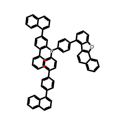 c1ccc(-c2ccc(-c3cccc4ccccc34)cc2N(c2ccc(-c3ccc(-c4cccc5ccccc45)cc3)cc2)c2ccc(-c3cccc4oc5c6ccccc6ccc5c34)cc2)cc1